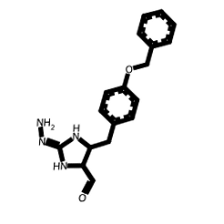 NN=C1NC(C=O)C(Cc2ccc(OCc3ccccc3)cc2)N1